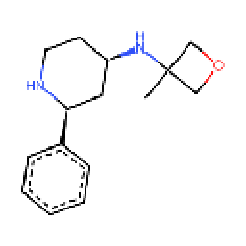 CC1(N[C@@H]2CCN[C@H](c3ccccc3)C2)COC1